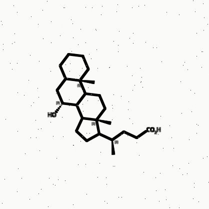 C[C@H](CCC(=O)O)C1CCC2C3C(CC[C@@]21C)[C@@]1(C)CCCCC1C[C@H]3O